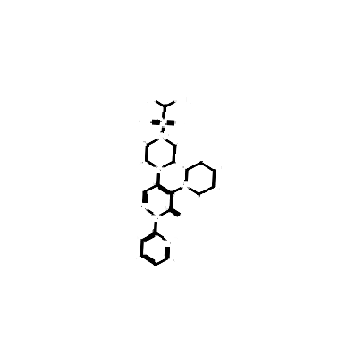 CC(C)S(=O)(=O)N1CCN(c2cnn(-c3ccccn3)c(=O)c2N2CCCCC2)CC1